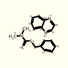 CN(C)C(=S)SCc1ccccc1.c1ccc2nccnc2c1